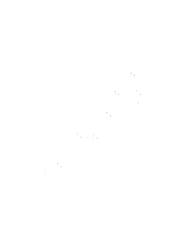 CC(=O)N1CCC(Nc2ccccc2)(C(=O)NCc2cc3cnc(C#N)nc3n2CCC2CCCCC2)CC1